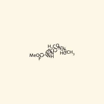 COc1ccc(-c2cnc3c(Nc4ccc(C(=O)N5CCN(C[C@H](C)O)CC5)c(C)c4)nccn23)cc1F